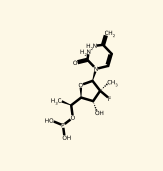 C=C(N)/C=C\N(C(N)=O)[C@@H]1O[C@H]([C@H](C)OP(O)O)[C@@H](O)[C@]1(C)F